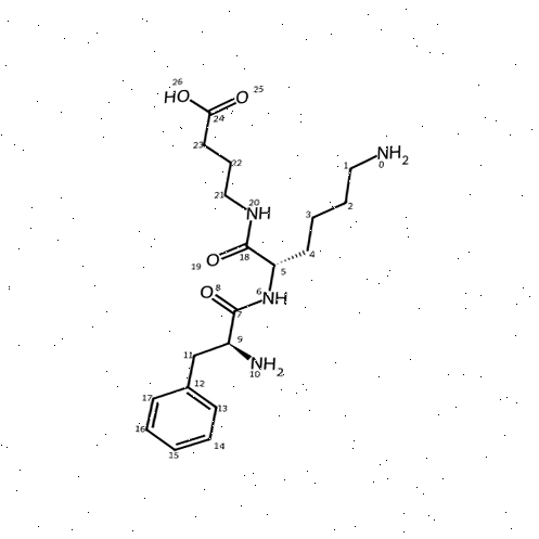 NCCCC[C@H](NC(=O)[C@@H](N)Cc1ccccc1)C(=O)NCCCC(=O)O